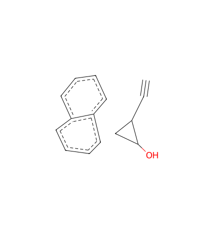 C#CC1CC1O.c1ccc2ccccc2c1